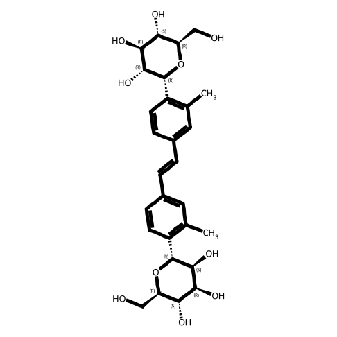 Cc1cc(C=Cc2ccc([C@H]3O[C@H](CO)[C@@H](O)[C@H](O)[C@@H]3O)c(C)c2)ccc1[C@H]1O[C@H](CO)[C@@H](O)[C@H](O)[C@H]1O